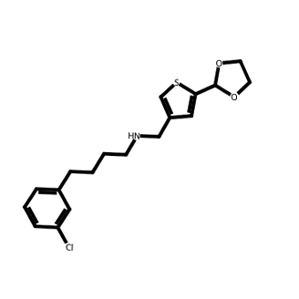 Clc1cccc(CCCCNCc2csc(C3OCCO3)c2)c1